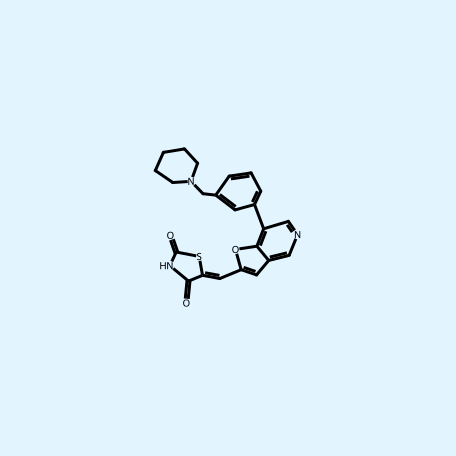 O=C1NC(=O)C(=Cc2cc3cncc(-c4cccc(CN5CCCCC5)c4)c3o2)S1